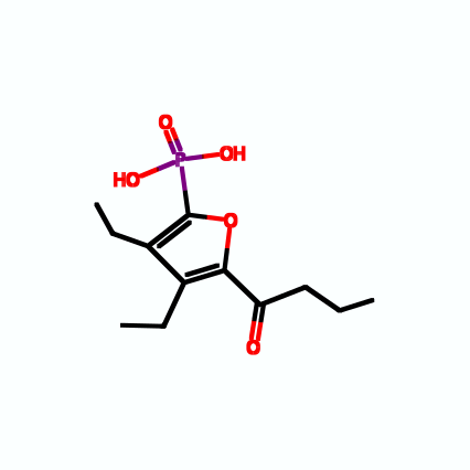 CCCC(=O)c1oc(P(=O)(O)O)c(CC)c1CC